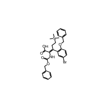 C[Si](C)(C)CCC(=C(NC(=O)OCc1ccccc1)C(=O)O)c1cc(Br)ccc1OCc1ccccc1